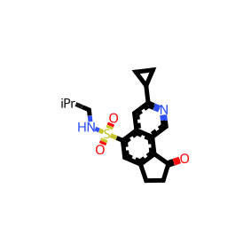 CC(C)CNS(=O)(=O)c1cc2c(c3cnc(C4CC4)cc13)C(=O)CC2